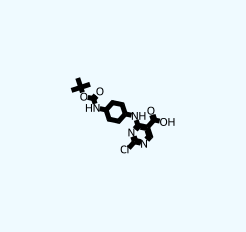 CC(C)(C)OC(=O)NC1CCC(Nc2nc(Cl)ncc2C(=O)O)CC1